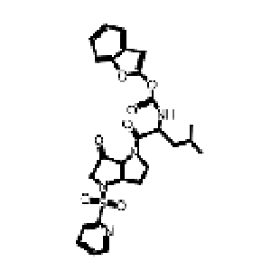 CC(C)CC(NC(=O)Oc1cc2ccccc2o1)C(=O)N1CCC2C1C(=O)CN2S(=O)(=O)c1ccccn1